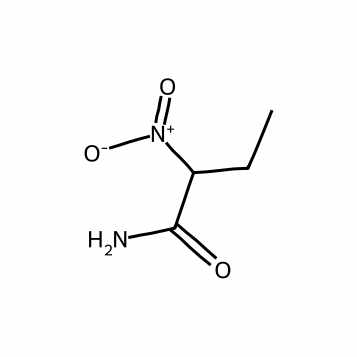 CCC(C(N)=O)[N+](=O)[O-]